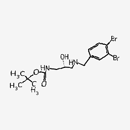 CC(C)(C)OC(=O)NC[C@H](O)CNCc1ccc(Br)c(Br)c1